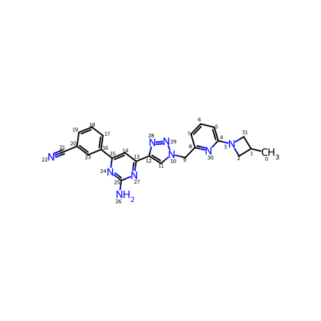 CC1CN(c2cccc(Cn3cc(-c4cc(-c5cccc(C#N)c5)nc(N)n4)nn3)n2)C1